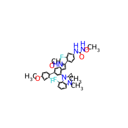 CONC(=O)Nc1ccc(-c2cc3c(N(c4c(F)cccc4N(C)C)C4CC4)cc(-c4ccc(OC)cc4F)c(OC)c3[nH]2)c(F)c1